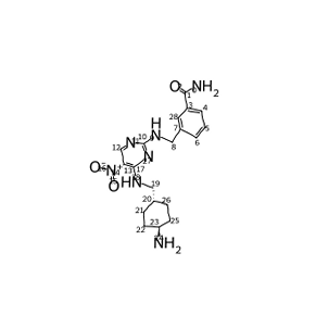 NC(=O)c1cccc(CNc2ncc([N+](=O)[O-])c(NC[C@H]3CC[C@H](N)CC3)n2)c1